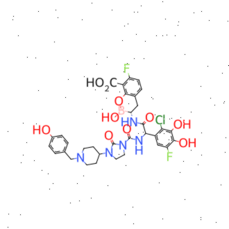 O=C(O)c1c(F)ccc2c1OB(O)[C@@H](NC(=O)C(NC(=O)N1CCN(C3CCN(Cc4ccc(O)cc4)CC3)C1=O)c1cc(F)c(O)c(O)c1Cl)C2